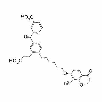 CCCc1c(OCCCCC=Cc2ccc(C(=O)c3cccc(C(=O)O)c3)cc2CCC(=O)O)ccc2c1OCCC2=O